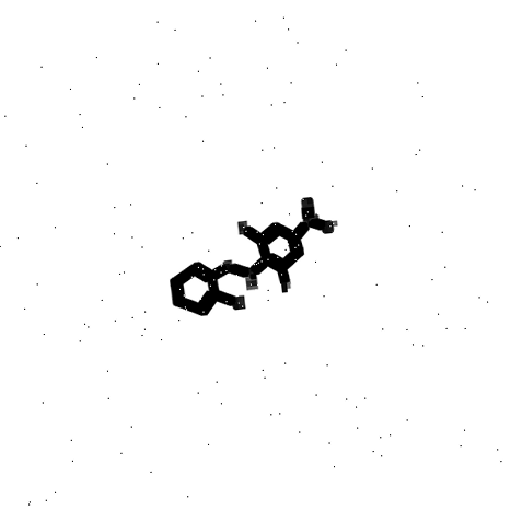 O=[N+]([O-])c1cc(F)c(NSc2ccccc2Cl)c(F)c1